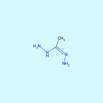 C/C(=N/N)NN